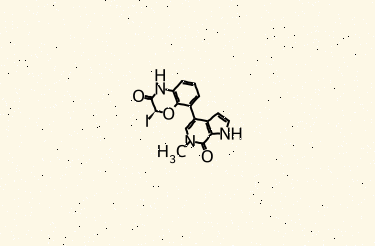 Cn1cc(-c2cccc3c2O[C@@H](I)C(=O)N3)c2cc[nH]c2c1=O